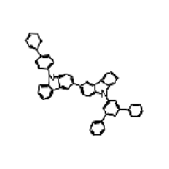 C1=CCCC(c2ccc(-n3c4ccccc4c4cc(-c5ccc6c(c5)c5ccccc5n6-c5cc(-c6ccccc6)cc(-c6ccccc6)c5)ccc43)cc2)=C1